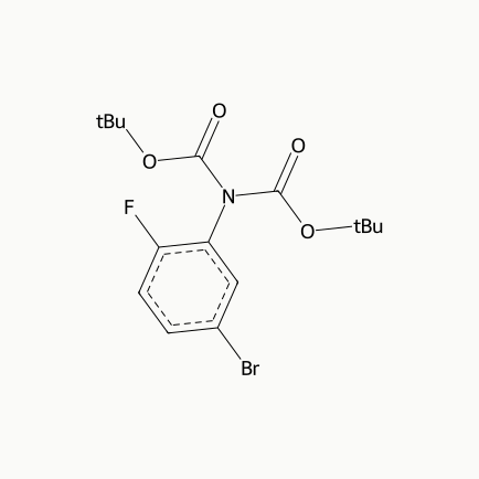 CC(C)(C)OC(=O)N(C(=O)OC(C)(C)C)c1cc(Br)ccc1F